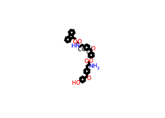 N[C@@H](Cc1ccc(C(=O)c2ccc(O)cc2)cc1)C(=O)Oc1ccc(C(=O)c2ccc(CC(NC(=O)OCC3c4ccccc4-c4ccccc43)C(=O)O)cc2)cc1